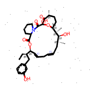 CC[C@H](Cc1cccc(O)c1)[C@@H]1/C=C/C/C=C/C[C@@H](C)[C@H](O)[C@@H](C)[C@@H]2CC[C@@H](C)C(=O)C(O)(O2)C(=O)N2CCCCC2C(=O)O1